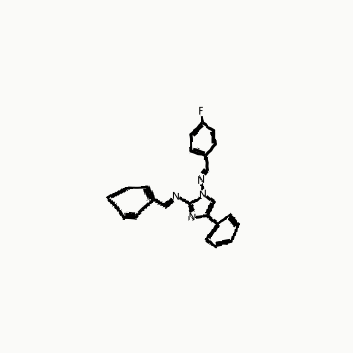 Fc1ccc(/C=N/n2cc(-c3ccccc3)nc2/N=C/c2ccccc2)cc1